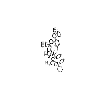 CCC(=O)Oc1ccc(C[C@H](N)C(=O)O[C@@H](C)COC(=O)C2CCCCC2)cc1OC(=O)CC